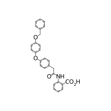 O=C(Cc1ccc(Oc2ccc(OCc3ccccc3)cc2)cc1)Nc1ccccc1C(=O)O